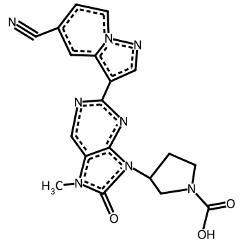 Cn1c(=O)n(C2CCN(C(=O)O)C2)c2nc(-c3cnn4ccc(C#N)cc34)ncc21